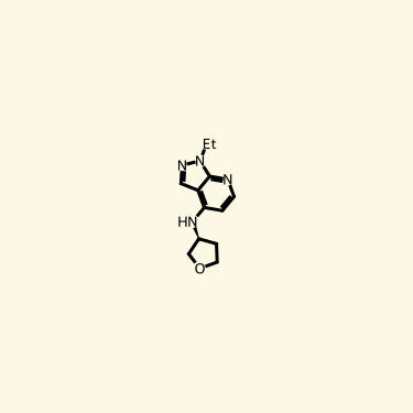 CCn1ncc2c(N[C@H]3CCOC3)ccnc21